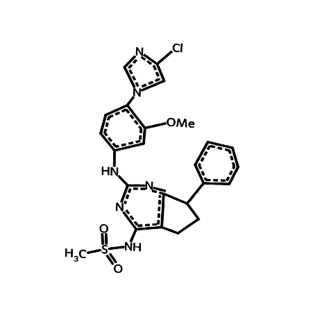 COc1cc(Nc2nc(NS(C)(=O)=O)c3c(n2)C(c2ccccc2)CC3)ccc1-n1cnc(Cl)c1